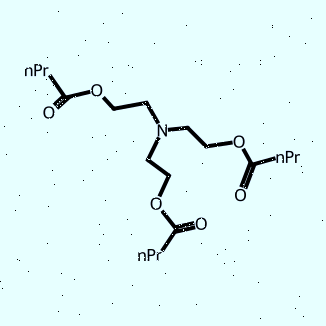 CCCC(=O)OCCN(CCOC(=O)CCC)CCOC(=O)CCC